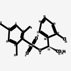 Cc1cc(C)c(S(=O)(=O)O[C@@H](C(=O)O)c2ccccc2Cl)c(C)c1